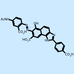 CC(=O)Nc1ccc(/N=N/c2c(S(=O)(=O)O)cc3c(ccc4nc(-c5ccc(C(=O)O)cc5)[nH]c43)c2O)c(C(=O)O)c1